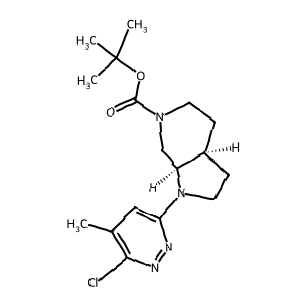 Cc1cc(N2CC[C@@H]3CCN(C(=O)OC(C)(C)C)C[C@@H]32)nnc1Cl